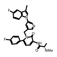 CN[C@@H](C)C(=O)Nc1ccc(-c2ccc(F)cc2)n(Cc2cncc(-n3cc(C)c4cc(F)ccc43)c2)c1=O